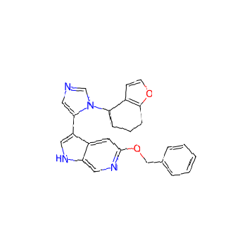 c1ccc(COc2cc3c(-c4cncn4C4CCCc5occc54)c[nH]c3cn2)cc1